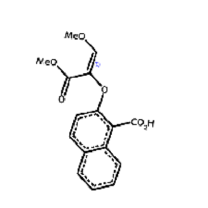 CO/C=C(/Oc1ccc2ccccc2c1C(=O)O)C(=O)OC